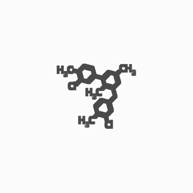 Cc1cc(Cc2ccc(C)c(Cl)c2)c(C)c(-c2ccc(C)c(Cl)c2)c1